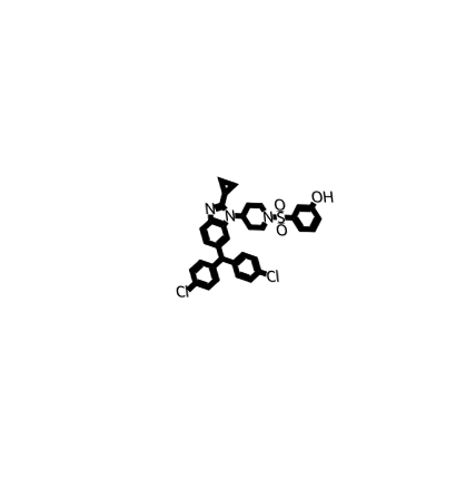 O=S(=O)(c1cccc(O)c1)N1CCC(n2c(C3CC3)nc3ccc(C(c4ccc(Cl)cc4)c4ccc(Cl)cc4)cc32)CC1